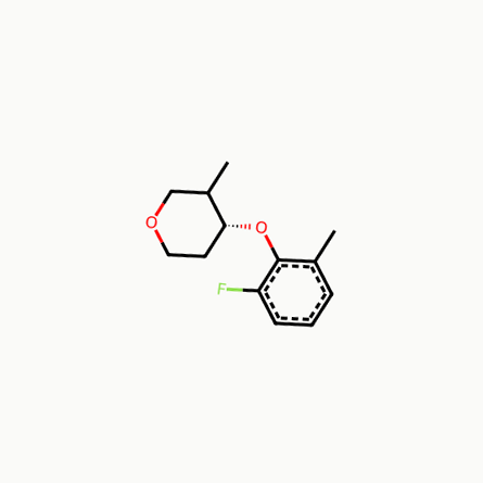 Cc1cccc(F)c1O[C@@H]1CCOCC1C